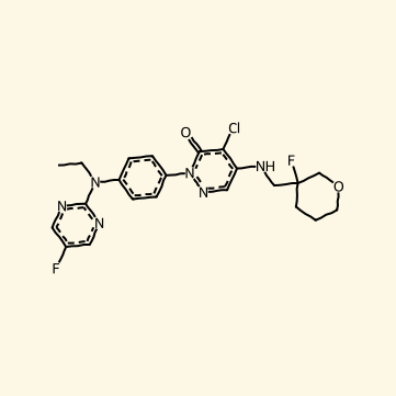 CCN(c1ccc(-n2ncc(NCC3(F)CCCOC3)c(Cl)c2=O)cc1)c1ncc(F)cn1